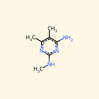 CNc1nc(C)c(C)c(N)n1